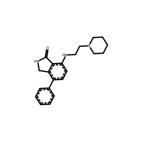 O=C1NCc2c(-c3ccccc3)ccc(NCCN3CCCCC3)c21